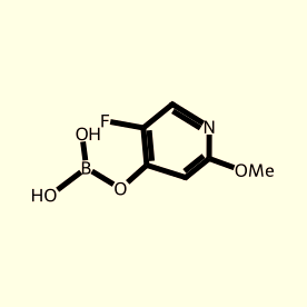 COc1cc(OB(O)O)c(F)cn1